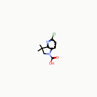 CC1(C)CN(C(=O)O)c2ccc(Cl)nc21